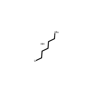 [HH].[Li][CH2]CCCCCCCC